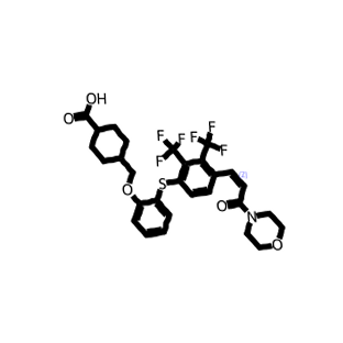 O=C(O)C1CCC(COc2ccccc2Sc2ccc(/C=C\C(=O)N3CCOCC3)c(C(F)(F)F)c2C(F)(F)F)CC1